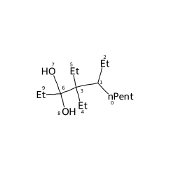 CCCCCC(CC)C(CC)(CC)C(O)(O)CC